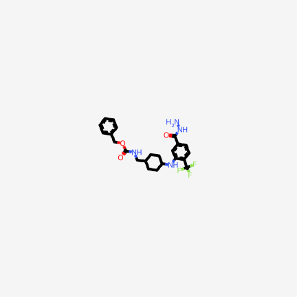 NNC(=O)c1ccc(C(F)(F)F)c(NC2CCC(CNC(=O)OCc3ccccc3)CC2)c1